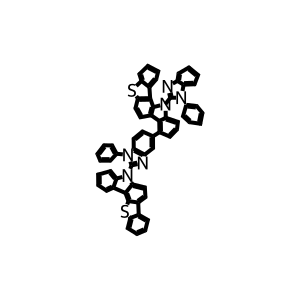 c1ccc(-n2c(-n3c4ccccc4c4c5sc6ccccc6c5ccc43)nc3cc(-c4cccc5c4c4ccc6sc7ccccc7c6c4n5-c4nc5ccccc5n4-c4ccccc4)ccc32)cc1